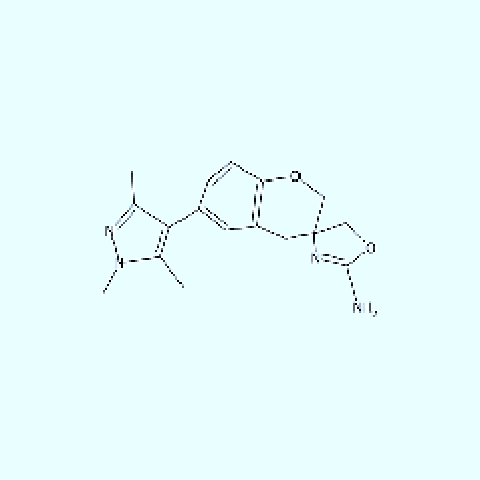 Cc1nn(C)c(C)c1-c1ccc2c(c1)CC1(COC(N)=N1)CO2